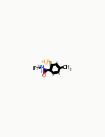 Cc1ccc(C(=O)NC(C)C)c(P)c1